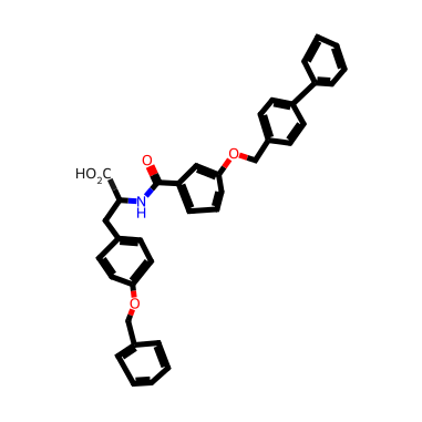 O=C(NC(Cc1ccc(OCc2ccccc2)cc1)C(=O)O)c1cccc(OCc2ccc(-c3ccccc3)cc2)c1